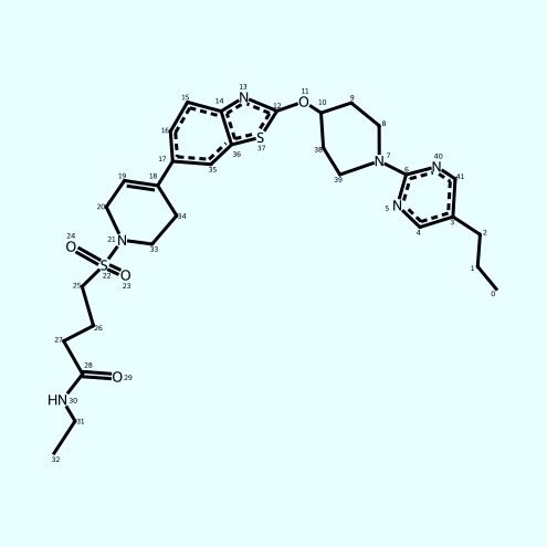 CCCc1cnc(N2CCC(Oc3nc4ccc(C5=CCN(S(=O)(=O)CCCC(=O)NCC)CC5)cc4s3)CC2)nc1